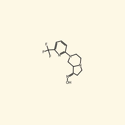 ON=C1CCN2CCN(c3cccc(C(F)(F)F)n3)CC12